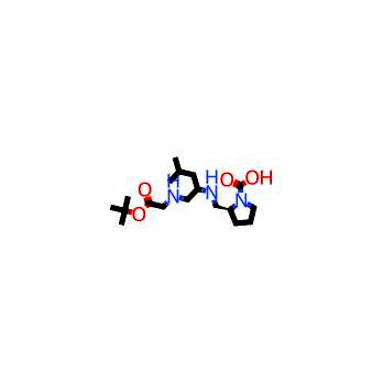 CC(C)CC(CNCC(=O)OC(C)(C)C)NC[C@@H]1CCCN1C(=O)O